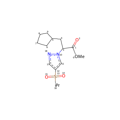 COC(=O)C(CC1CCCC1)n1cc(S(=O)(=O)C(C)C)cn1